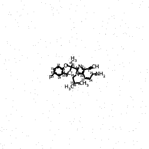 C#Cc1nc(C(C)(C)Oc2ccc(F)cc2F)n(CC(C)C)c1/C=C\CN